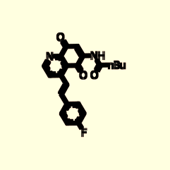 CCCCC(=O)NC1=CC(=O)c2nccc(/C=C/c3ccc(F)cc3)c2C1=O